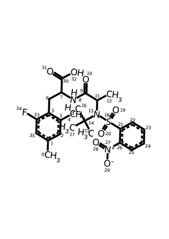 Cc1cc(C)c(CC(NC(=O)C(C)N(C(C)(C)C)S(=O)(=O)c2ccccc2[N+](=O)[O-])C(=O)O)c(F)c1